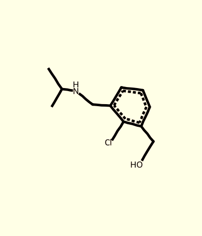 CC(C)NCc1cccc(CO)c1Cl